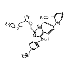 CC(C)C(OCc1nc(Nc2ccc(C(C)(C)C)cc2)c2ccc(-c3ncccc3C(F)(F)F)cc2n1)C(=O)O